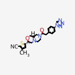 Cc1cc([C@H]2CN3CCN(C(=O)Cc4ccc(-n5cnnn5)cc4)C[C@H]3CO2)sc1C#N